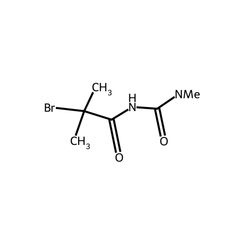 CNC(=O)NC(=O)C(C)(C)Br